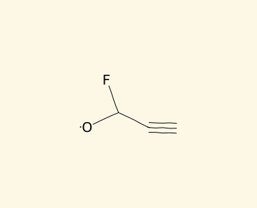 C#CC([O])F